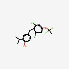 CC(C)c1cc(Cc2c(Cl)cc(OC(C)(F)F)cc2Cl)ccc1O